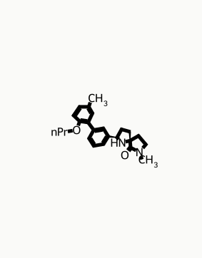 CCCOc1ccc(C)cc1-c1cccc([C@H]2CC[C@]3(CCN(C)C3=O)N2)c1